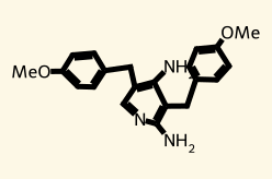 COc1ccc(Cc2cnc(N)c(Cc3ccc(OC)cc3)c2N)cc1